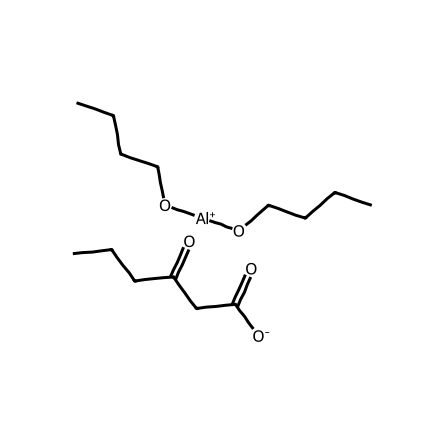 CCCC(=O)CC(=O)[O-].CCCC[O][Al+][O]CCCC